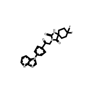 O=C(CN1C(=O)NC2(CCC(F)(F)CC2)C1=O)c1ccc(-n2cnc3ncccc32)cc1